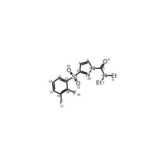 CCN(CC)C(=O)n1ccc(S(=O)(=O)c2cccc(F)c2F)n1